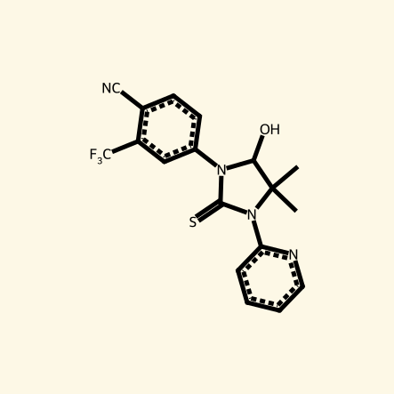 CC1(C)C(O)N(c2ccc(C#N)c(C(F)(F)F)c2)C(=S)N1c1ccccn1